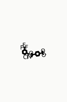 COC(=O)c1ccc(-c2cnc(-c3cc(C(F)(F)F)ccc3Cl)o2)cc1